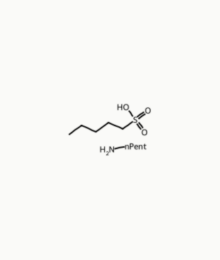 CCCCCN.CCCCCS(=O)(=O)O